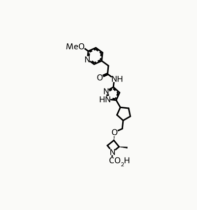 COc1ccc(CC(=O)Nc2cc(C3CCC(CO[C@H]4CN(C(=O)O)[C@@H]4C)C3)[nH]n2)cn1